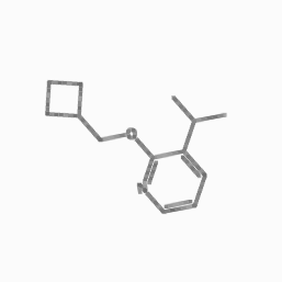 CC(C)c1cccnc1OCC1CCC1